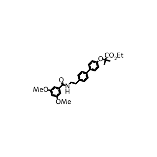 CCOC(=O)C(C)(C)Oc1ccc(-c2ccc(CCNC(=O)c3cc(OC)cc(OC)c3)cc2)cc1